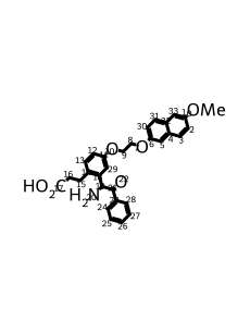 COc1ccc2cc(OCCOc3ccc(CCC(=O)O)c(C(N)C(=O)c4ccccc4)c3)ccc2c1